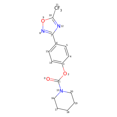 O=C(Oc1ccc(-c2noc(C(F)(F)F)n2)cc1)N1CCCCC1